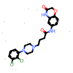 O=C(CCCN1CCN(c2cccc(Cl)c2Cl)CC1)Nc1ccc2c(c1)NC(=O)CO2